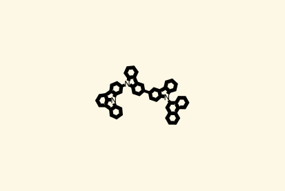 c1ccc2c(c1)cc(-n1c3ccccc3c3cc(-c4ccc5c(c4)c4ccccc4n5-c4ccc5c6cccc7c8ccccc8n(c5c4)c76)ccc31)c1ccccc12